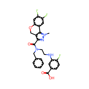 Cn1nc(C(=O)N(CCNc2cc(C(=O)O)ccc2F)Cc2ccccc2)c2c1-c1cc(F)c(F)cc1OC2